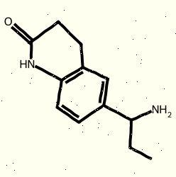 CCC(N)c1ccc2c(c1)CCC(=O)N2